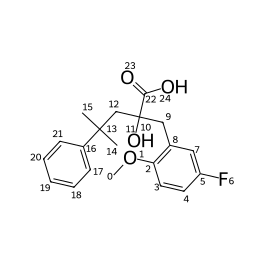 COc1ccc(F)cc1CC(O)(CC(C)(C)c1ccccc1)C(=O)O